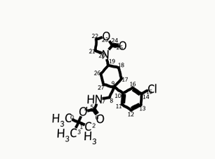 CC(C)(C)OC(=O)NCC1(c2cccc(Cl)c2)CCC(N2CCOC2=O)CC1